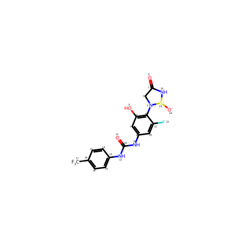 O=C1CN(c2c(O)cc(NC(=O)Nc3ccc(C(F)(F)F)cc3)cc2F)[S+]([O-])N1